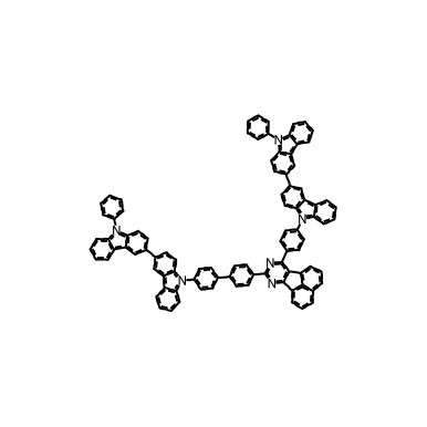 c1ccc(-n2c3ccccc3c3cc(-c4ccc5c(c4)c4ccccc4n5-c4ccc(-c5ccc(-c6nc(-c7ccc(-n8c9ccccc9c9cc(-c%10ccc%11c(c%10)c%10ccccc%10n%11-c%10ccccc%10)ccc98)cc7)c7c(n6)-c6cccc8cccc-7c68)cc5)cc4)ccc32)cc1